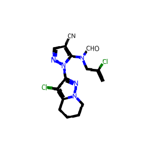 C=C(Cl)CN(C=O)c1c(C#N)cnn1-c1nn2c(c1Cl)CCCC2